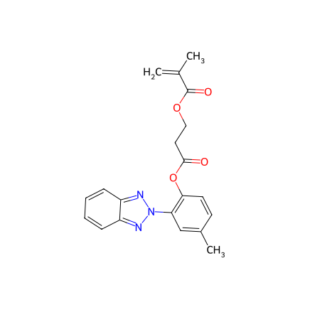 C=C(C)C(=O)OCCC(=O)Oc1ccc(C)cc1-n1nc2ccccc2n1